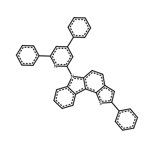 c1ccc(-c2cc(-c3ccccc3)nc(-n3c4ccccc4c4c5sc(-c6ccccc6)cc5ccc43)c2)cc1